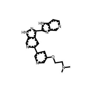 CN(C)CCOc1cncc(-c2cc3c(-c4nc5cnccc5[nH]4)n[nH]c3cn2)c1